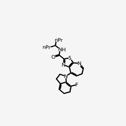 CCCC(CCC)NC(=O)c1nc2c(s1)N=CCC=C2N1CCC2=CCCC(F)=C21